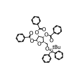 CC(C)(C)[Si](OC[C@H]1OC(OC(=O)c2ccccc2)[C@H](OC(=O)c2ccccc2)[C@@H]1OC(=O)c1ccccc1)(c1ccccc1)c1ccccc1